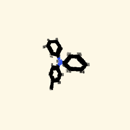 Cc1ccc(N(C2=CCCC=C2)C2C=CC=CC2)cc1